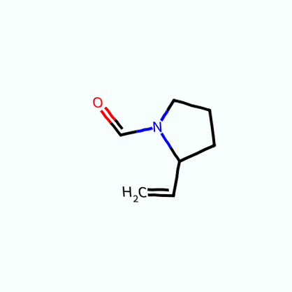 C=CC1CCCN1C=O